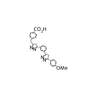 COc1ccc(C2=NN=C(c3cccc(C4=NN=C(Cc5ccc(C(=O)O)cc5)C4)c3)C2)cc1